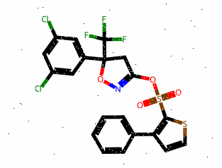 O=S(=O)(OC1=NOC(c2cc(Cl)cc(Cl)c2)(C(F)(F)F)C1)c1sccc1-c1ccccc1